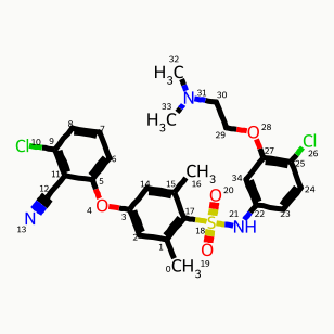 Cc1cc(Oc2cccc(Cl)c2C#N)cc(C)c1S(=O)(=O)Nc1ccc(Cl)c(OCCN(C)C)c1